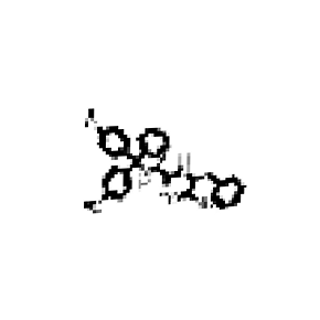 COc1ccc(C(N[C@@H](C)C(=O)N[C@@H](Cc2ccccc2)C(N)=O)(c2ccccc2)c2ccc(OC)cc2)cc1